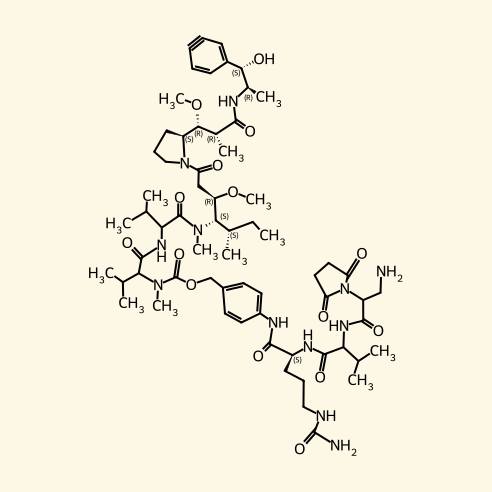 CC[C@H](C)[C@@H]([C@@H](CC(=O)N1CCC[C@H]1[C@H](OC)[C@@H](C)C(=O)N[C@H](C)[C@@H](O)c1cc#ccc1)OC)N(C)C(=O)C(NC(=O)C(C(C)C)N(C)C(=O)OCc1ccc(NC(=O)[C@H](CCCNC(N)=O)NC(=O)C(NC(=O)C(CN)N2C(=O)CCC2=O)C(C)C)cc1)C(C)C